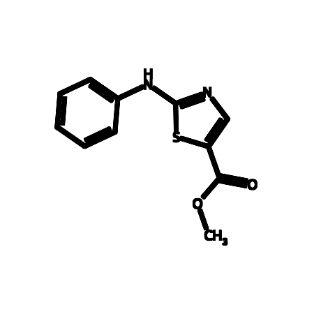 COC(=O)c1cnc(Nc2ccccc2)s1